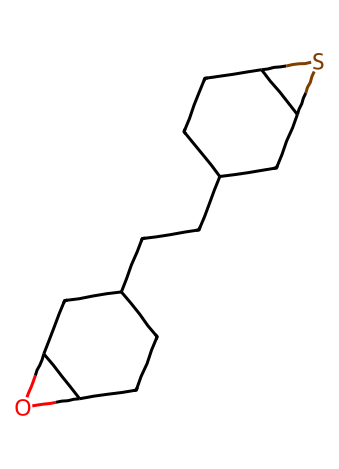 C(CC1CCC2SC2C1)C1CCC2OC2C1